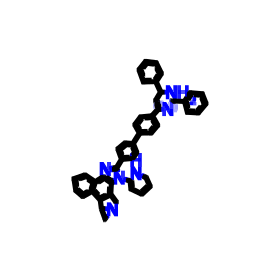 NC(/C=C(\N=C\c1ccccc1)c1ccc(-c2ccc(-c3nc4c5ccccc5c5c(c4n3C3=CC=CCN3)CN3CC53)cc2)cc1)c1ccccc1